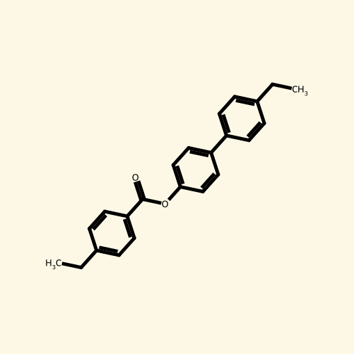 CCc1ccc(C(=O)Oc2ccc(-c3ccc(CC)cc3)cc2)cc1